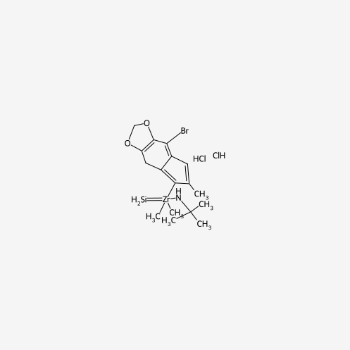 CC1=CC2=C(Br)C3=C(CC2=[C]1[Zr]([CH3])([CH3])(=[SiH2])[NH]C(C)(C)C)OCO3.Cl.Cl